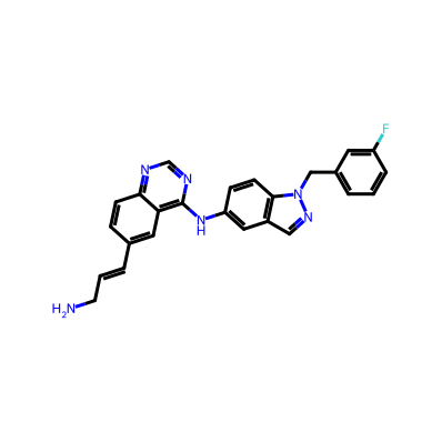 NCC=Cc1ccc2ncnc(Nc3ccc4c(cnn4Cc4cccc(F)c4)c3)c2c1